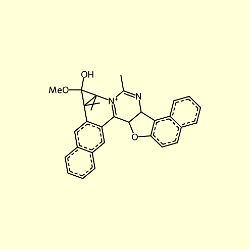 COC1(O)C2(C)c3cc4ccccc4cc3C3=[N+](C(C)=NC4c5c(ccc6ccccc56)OC34)C12C